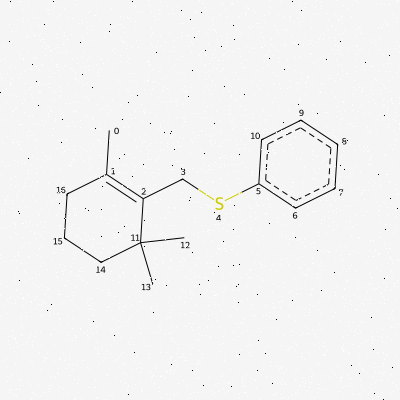 CC1=C(CSc2ccccc2)C(C)(C)CCC1